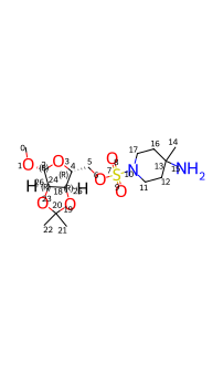 CO[C@@H]1O[C@H](COS(=O)(=O)N2CCC(C)(N)CC2)[C@H]2OC(C)(C)O[C@@H]12